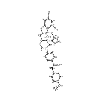 CC(SC1COC(c2ccc(C(=O)Nc3ccc(OC(F)(F)F)cc3)cc2)OC1)C(O)(Cn1cncn1)c1ccc(F)cc1F